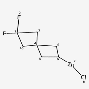 FC1(F)CC2(C[CH]([Zn][Cl])C2)C1